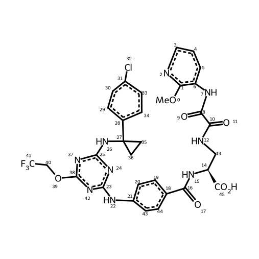 COc1ncccc1NC(=O)C(=O)NC[C@H](NC(=O)c1ccc(Nc2nc(NC3(c4ccc(Cl)cc4)CC3)nc(OCC(F)(F)F)n2)cc1)C(=O)O